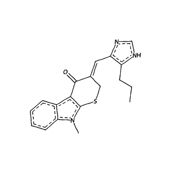 CCCc1[nH]cnc1C=C1CSc2c(c3ccccc3n2C)C1=O